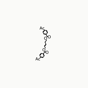 CC(=O)c1ccc(C(=O)OCC=CCCOC(=O)c2ccc(C(C)=O)cc2)cc1